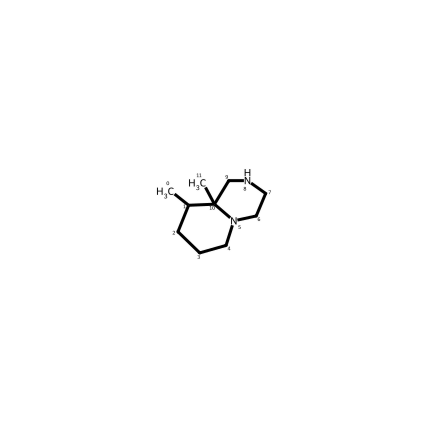 CC1CCCN2CCNCC12C